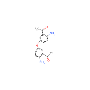 Nc1ccc(Oc2ccc(N)c(C(=O)C(F)(F)F)c2)cc1C(=O)C(F)(F)F